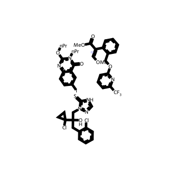 CCCOc1nc2ccc(I)cc2c(=O)n1CCC.CO/C=C(/C(=O)OC)c1ccccc1COc1cccc(C(F)(F)F)n1.OC(Cc1ccccc1Cl)(Cn1nc[nH]c1=S)C1(Cl)CC1